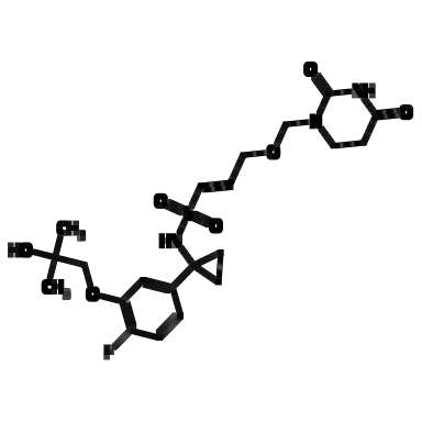 CC(C)(O)COc1cc(C2(NS(=O)(=O)/C=C/COCN3CCC(=O)NC3=O)CC2)ccc1F